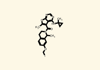 Cc1oc2ncnc(NC3(C)CC3)c2c1C(=O)N1CCc2ccc(OCI)cc2C1C